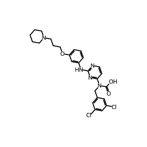 O=C(O)N(Cc1cc(Cl)cc(Cl)c1)c1ccnc(Nc2cccc(OCCCN3CCCCC3)c2)n1